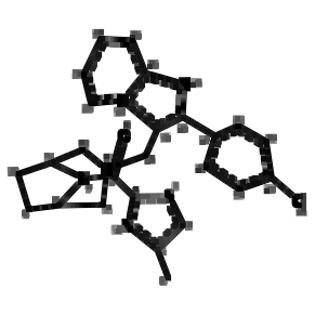 Cc1csc(C(=O)N2C3CCC2CN(Cc2c(-c4ccc(Cl)cc4)nc4ccccn24)C3)n1